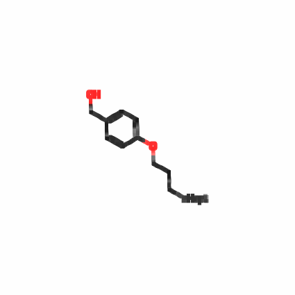 CCCCCCCCCCOc1ccc(CO)cc1